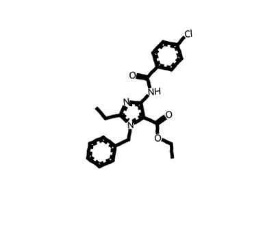 CCOC(=O)c1c(NC(=O)c2ccc(Cl)cc2)nc(CC)n1Cc1ccccc1